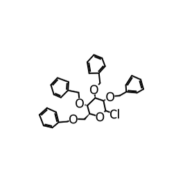 ClC1O[C@@H](COCc2ccccc2)[C@H](OCc2ccccc2)[C@@H](OCc2ccccc2)[C@@H]1OCc1ccccc1